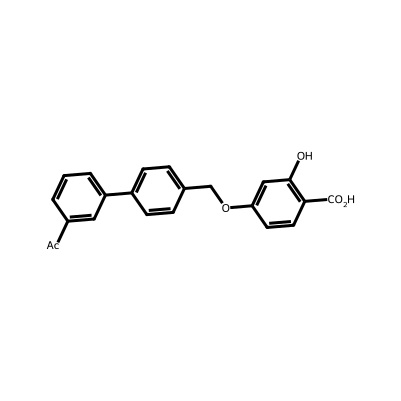 CC(=O)c1cccc(-c2ccc(COc3ccc(C(=O)O)c(O)c3)cc2)c1